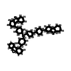 c1ccc2c(c1)oc1cccc(-c3ccc(N(c4ccc(-c5ccc(-c6ccc7c(c6)sc6ccccc67)cc5)cc4)c4ccc(-c5cccc6sc7ccccc7c56)cc4)cc3)c12